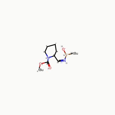 CC(C)(C)OC(=O)N1CCCCC1/C=N\[S+]([O-])C(C)(C)C